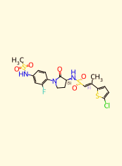 C/C(=C\S(=O)(=O)N[C@H]1CCN(c2ccc(NS(C)(=O)=O)cc2F)C1=O)c1ccc(Cl)s1